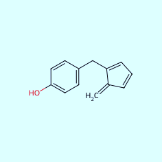 C=C1C=CC=C1Cc1ccc(O)cc1